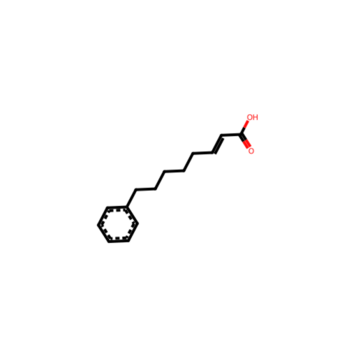 O=C(O)C=CCCCCCc1ccccc1